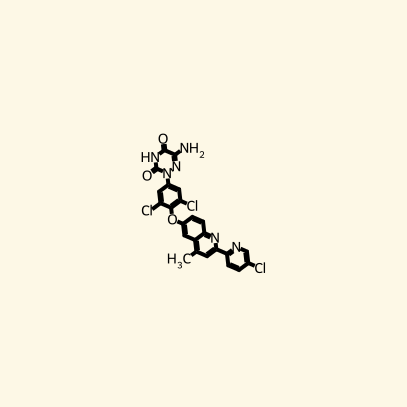 Cc1cc(-c2ccc(Cl)cn2)nc2ccc(Oc3c(Cl)cc(-n4nc(N)c(=O)[nH]c4=O)cc3Cl)cc12